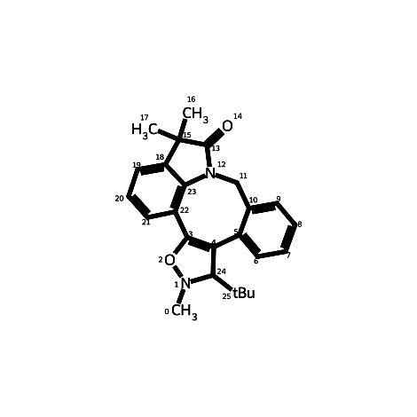 CN1OC2=C(c3ccccc3CN3C(=O)C(C)(C)c4cccc2c43)C1C(C)(C)C